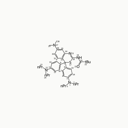 CCCN(CCC)c1ccc(C2(c3ccc(N(CCC)CCC)cc3)SC(NC(=O)C(C)(C)C)=Nc3cc(N(C)C)ccc32)cc1